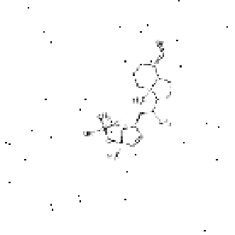 C[C@H](C[C@H]1C=C[C@@](C)(O[Si](C)(C)C(C)(C)C)C1)[C@H]1CCC2C(=CBr)CCC[C@@]21C